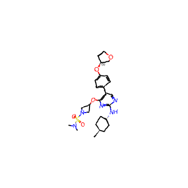 CN(C)S(=O)(=O)N1CC(Oc2nc(N[C@H]3CC[C@H](C)CC3)ncc2-c2ccc(O[C@H]3CCOC3)cc2)C1